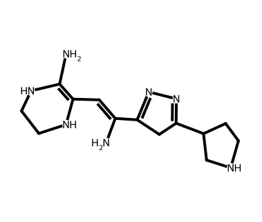 NC1=C(/C=C(\N)C2=NN=C(C3CCNC3)C2)NCCN1